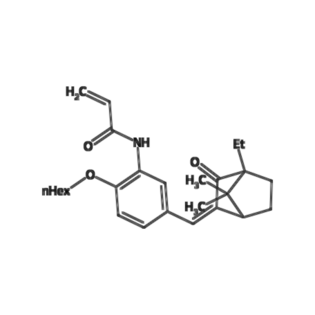 C=CC(=O)Nc1cc(C=C2C(=O)C3(CC)CCC2C3(C)C)ccc1OCCCCCC